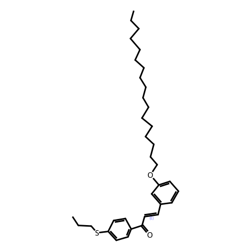 CCCCCCCCCCCCCCCCCOc1cccc(/C=C/C(=O)c2ccc(SCCC)cc2)c1